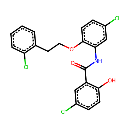 O=C(Nc1cc(Cl)ccc1OCCc1ccccc1Cl)c1cc(Cl)ccc1O